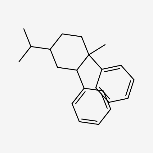 CC(C)C1CCC(C)(c2ccccc2)C(c2ccccc2)C1